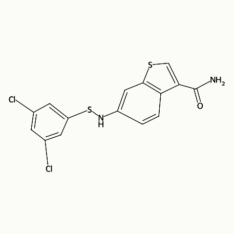 NC(=O)c1csc2cc(NSc3cc(Cl)cc(Cl)c3)ccc12